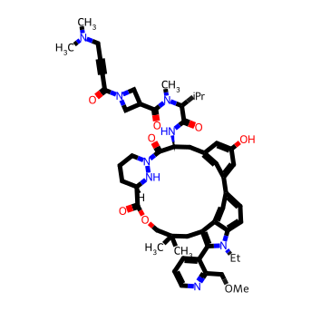 CCn1c(-c2cccnc2COC)c2c3cc(ccc31)-c1cc(O)cc(c1)C[C@H](NC(=O)C(C(C)C)N(C)C(=O)C1CN(C(=O)C#CCN(C)C)C1)C(=O)N1CCC[C@H](N1)C(=O)OCC(C)(C)C2